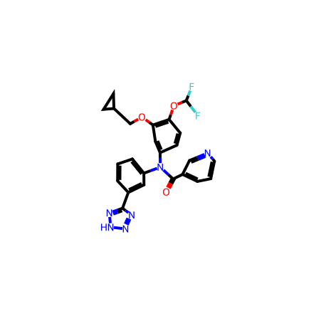 O=C(c1cccnc1)N(c1cccc(-c2nn[nH]n2)c1)c1ccc(OC(F)F)c(OCC2CC2)c1